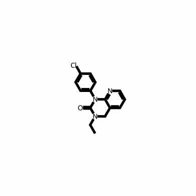 CCN1Cc2cccnc2N(c2ccc(Cl)cc2)C1=O